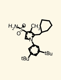 Cc1c(S(N)(=O)=O)cn(-c2cc(C(C)(C)C)cc(C(C)(C)C)c2)c1CC1CCCCC1